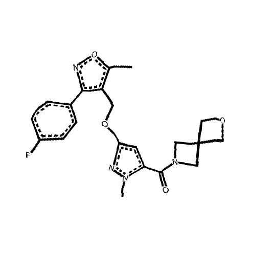 Cc1onc(-c2ccc(F)cc2)c1COc1cc(C(=O)N2CC3(COC3)C2)n(C)n1